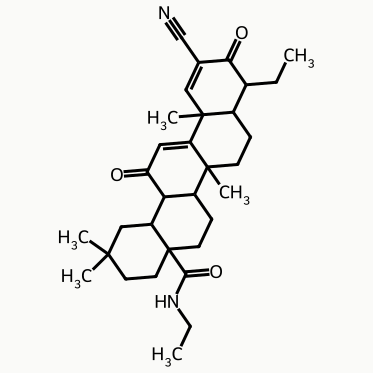 CCNC(=O)C12CCC3C(C(=O)C=C4C5(C)C=C(C#N)C(=O)C(CC)C5CCC43C)C1CC(C)(C)CC2